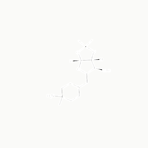 CC(=O)O[C@H]1C(CN2CCC(C)(N)CC2)O[C@@H]2OC(C)(C)O[C@@H]21